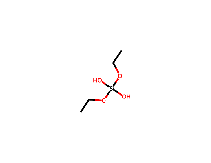 CCO[Si](O)(O)OCC